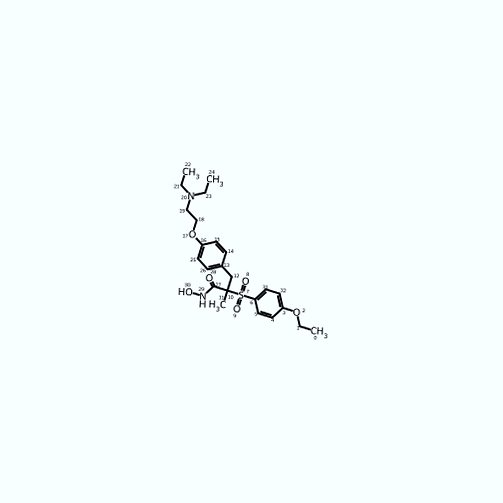 CCOc1ccc(S(=O)(=O)C(C)(Cc2ccc(OCCN(CC)CC)cc2)C(=O)NO)cc1